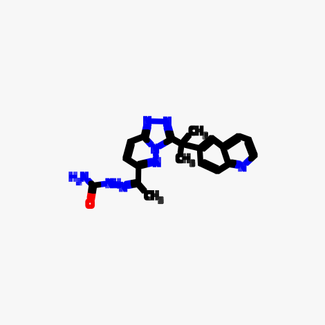 C/C(=N/NC(N)=O)c1ccc2nnc(C(C)(C)c3ccc4ncccc4c3)n2n1